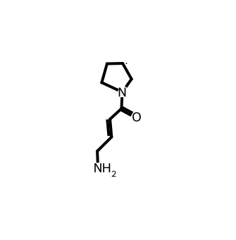 NCC=CC(=O)N1C[CH]CC1